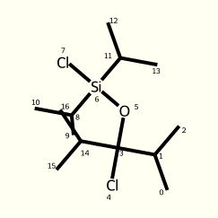 CC(C)C(Cl)(O[Si](Cl)(C(C)C)C(C)C)C(C)C